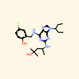 CCC(CC)n1cnc2c(NCc3cc(F)ccc3O)nc(NC(C)CC(C)(C)O)nc21